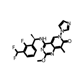 COc1nc(N[C@H](C)c2cccc(C(F)F)c2F)c2cn(-n3ccnc3)c(=O)c(C)c2n1